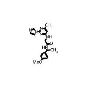 COc1ccc(C(C)NC(=O)CNc2cc(C)nc(-n3ccnc3)n2)cc1